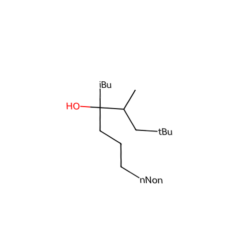 CCCCCCCCCCCCC(O)(C(C)CC)C(C)CC(C)(C)C